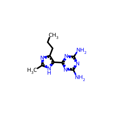 CCCc1nc(C)[nH]c1-c1nc(N)nc(N)n1